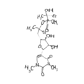 CCC(C)(C[C@H]1O[C@@H](c2cn(C)c(=O)n(C)c2=O)[C@H](O)[C@@H]1O)OP(=O)(O)[C@@](C)(O)CC